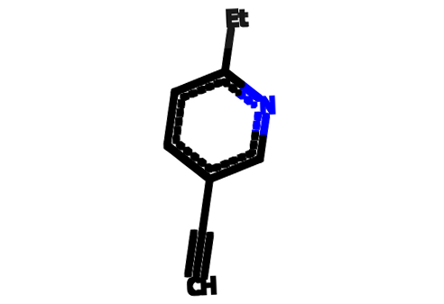 C#Cc1ccc(CC)nc1